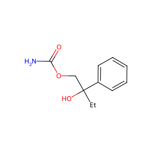 CCC(O)(COC(N)=O)c1ccccc1